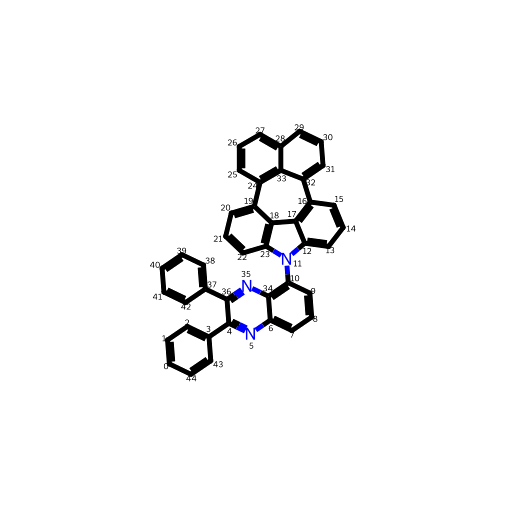 c1ccc(-c2nc3cccc(-n4c5cccc6c5c5c(cccc54)-c4cccc5cccc-6c45)c3nc2-c2ccccc2)cc1